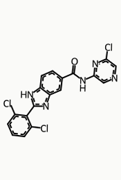 O=C(Nc1cncc(Cl)n1)c1ccc2[nH]c(-c3c(Cl)cccc3Cl)nc2c1